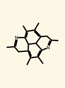 CC1=NC2=C(C)C(C)=C3CC(C)=NC4=C(C)C(C)=C(C1)C2C34